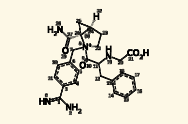 N=C(N)c1ccc(C[N+]2(C(=O)C(Cc3ccccc3)NCC(=O)O)CC[C@@H]3C[C@@]32C(N)=O)cc1